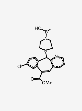 COC(=O)C1=Cc2cccnc2C(N2CCN(B(C)O)CC2)c2ccc(Cl)cc21